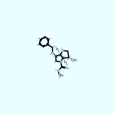 CC(=O)O[C@H]1CO[C@H]2[C@@H]1N(C(=O)OC(C)(C)C)C[C@H]2OCc1ccccc1